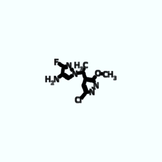 COc1nnc(Cl)cc1[C@H](C)n1cc(N)c(F)n1